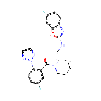 C[C@@H]1CCCN(C(=O)c2cc(F)ccc2-n2nccn2)[C@@H]1CNc1nc2ccc(F)cc2o1